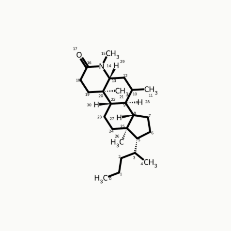 CCCC(C)[C@H]1CC[C@H]2[C@@H]3C(C)C[C@H]4N(C)C(=O)CC[C@]4(C)[C@H]3CC[C@]12C